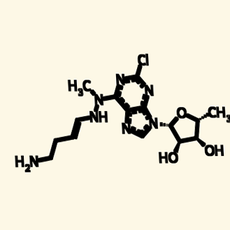 C[C@H]1O[C@@H](n2cnc3c(N(C)NC=CCCN)nc(Cl)nc32)[C@H](O)[C@@H]1O